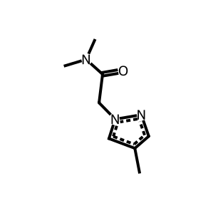 Cc1cnn(CC(=O)N(C)C)c1